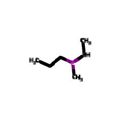 CBP(C)CCC